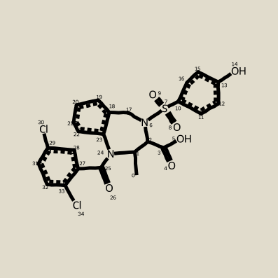 CC1C(C(=O)O)N(S(=O)(=O)c2ccc(O)cc2)Cc2ccccc2N1C(=O)c1cc(Cl)ccc1Cl